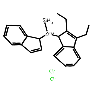 CCC1=C(CC)[CH]([Zr+2]([SiH3])[CH]2C=Cc3ccccc32)c2ccccc21.[Cl-].[Cl-]